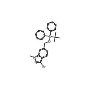 Cn1nc(Br)c2ccc(CO[Si](c3ccccc3)(c3ccccc3)C(C)(C)C)cc21